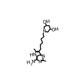 Cc1nc(N)c2[nH]c(C)c(CCCCCCN3CC(O)CC(O)C3)c2n1